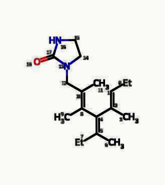 CCC=C(C)C(=C(\C)CC)/C(C)=C(\C)CN1CCNC1=O